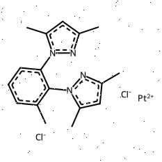 Cc1cc(C)n(-c2cccc(C)c2-n2nc(C)cc2C)n1.[Cl-].[Cl-].[Pt+2]